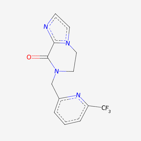 O=C1c2nccn2CCN1Cc1cccc(C(F)(F)F)n1